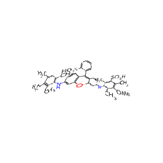 COc1c(C)c(/N=c2\ccc3c(-c4ccccc4S(=O)(=O)O)c4ccc(Nc5c(C)cc(C)c(C)c5C)cc4oc-3c2)c(C)c(S(=O)(=O)O)c1C